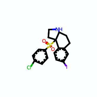 O=S(=O)(c1ccc(Cl)cc1)C12CCNC1CCc1cc(I)ccc12